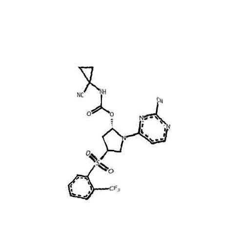 N#Cc1nccc(N2C[C@@H](S(=O)(=O)c3ccccc3C(F)(F)F)C[C@@H]2OC(=O)NC2(C#N)CC2)n1